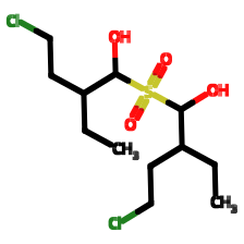 CCC(CCCl)C(O)S(=O)(=O)C(O)C(CC)CCCl